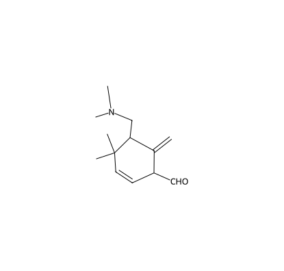 C=C1C(C=O)C=CC(C)(C)C1CN(C)C